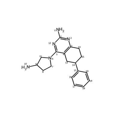 Nc1nc2c(c(N3CCC(N)C3)n1)CC(c1ccccc1)CC2